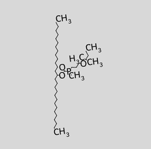 CCCCCCCCCCCCCCC(CCCCCCCCCCCCCC)OC(=O)P(C)CCCOC(C)(C)CCC